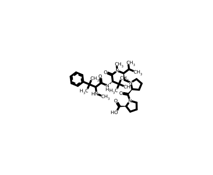 CNC(C(=O)N[C@H](C(=O)N(C)[C@H](CN1CCC[C@H]1C(=O)N1CCC[C@H]1C(=O)O)C(C)C)C(C)(C)C)C(C)(C)c1ccccc1